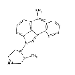 CC1CNCCN1n1nc(-c2ccccn2)c2c(C(N)=O)cccc21